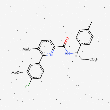 COc1cc(-c2nc(C(=O)N[C@@H](CC(=O)O)c3ccc(C)cc3)ccc2OC)ccc1Cl